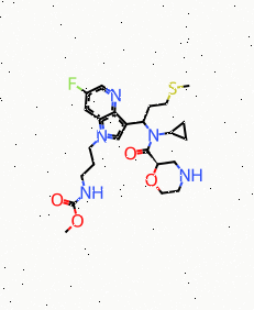 COC(=O)NCCCn1cc(C(CCSC)N(C(=O)[C@H]2CNCCO2)C2CC2)c2ncc(F)cc21